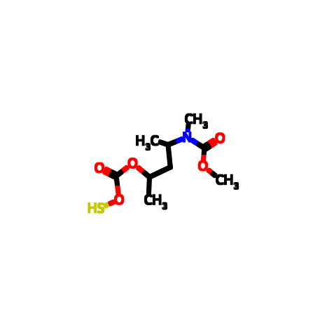 COC(=O)N(C)C(C)CC(C)OC(=O)OS